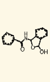 O=C(NC1OC(O)c2ccccc21)c1ccccc1